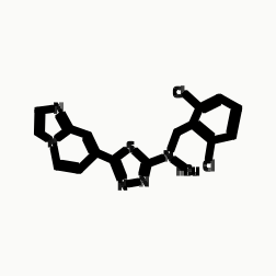 CCCCN(Cc1c(Cl)cccc1Cl)c1nnc(-c2ccn3ccnc3c2)s1